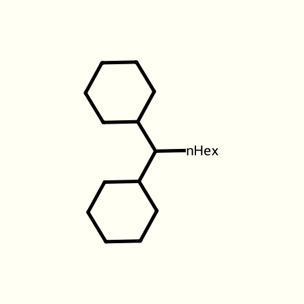 CCCCCCC(C1CCCCC1)C1CCCCC1